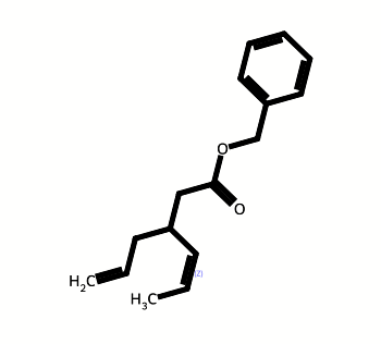 C=CCC(/C=C\C)CC(=O)OCc1ccccc1